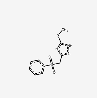 CSc1nc(CS(=O)(=O)c2ccccc2)n[nH]1